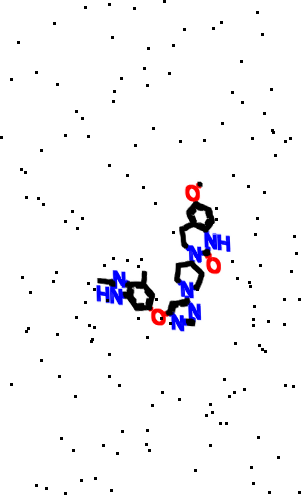 COc1ccc2c(c1)CCN(C1CCN(c3cc(Oc4cc(C)c5nc(C)[nH]c5c4)ncn3)CC1)C(=O)N2